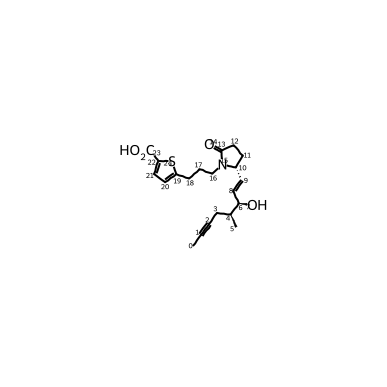 CC#CC[C@H](C)[C@H](O)/C=C/[C@H]1CCC(=O)N1CCCc1ccc(C(=O)O)s1